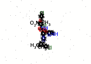 Cc1c(Cl)c(C(=O)NS(=O)(=O)c2ccc(N3CCN(CC4=C(c5ccc(Cl)cc5)CC(C)(C)CC4)CC3)cc2Oc2cnc3[nH]ccc3c2)cc([N+](=O)[O-])c1OCc1ccc(Cl)cc1